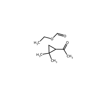 CC(=O)C1CC1(C)C.CCOC=O